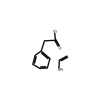 C=CCCC.CCC(=O)Cc1ccccc1